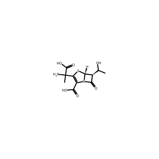 CC(O)[C@H]1C(=O)N2C(C(=O)O)=C(C(C)(N)C(=O)O)S[C@H]12